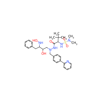 CN(C)S(=O)(=O)NC(C(=O)NN(Cc1ccc(-c2ccccn2)cc1)CC(O)C(Cc1ccccc1)NO)C(C)(C)C